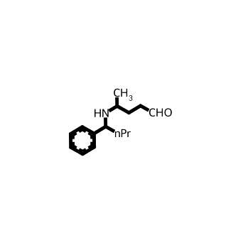 [CH2]CCC(NC(C)CCC=O)c1ccccc1